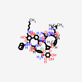 CCCCCCNCC1=C(O)CC2C(C3=C[C@H](CC[C@H]3O)[C@H]3NC(=O)[C@@H]4NC(=O)[C@H](CC(N)=O)NC(=O)[C@H](NC(=O)[C@@H](CC(C)C)NC)[C@H](O)[C@H]5C=C[C@@H](Oc6cc4cc(c6O[C@@H]4C[C@H](CN)[C@@H](O)[C@H](O)[C@H]4O)O[C@@H]4CC[C@@H](C=C4Cl)[C@@H](O)[C@H](NC3=O)C(=O)N[C@@H]2C(=O)NC2C3CC4CC(C3)CC2C4)[C@H](C)C5)[C@H]1O